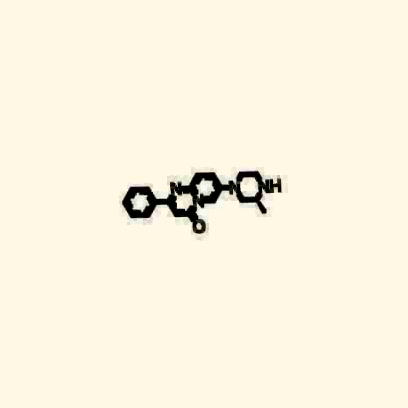 C[C@H]1CN(c2ccc3nc(-c4ccccc4)cc(=O)n3c2)CCN1